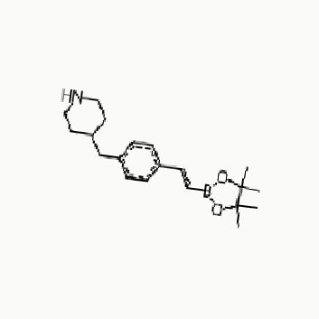 CC1(C)OB(C=Cc2ccc(CC3CCNCC3)cc2)OC1(C)C